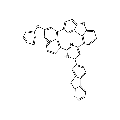 c1ccc(C2=NC(c3cccc4oc5ccc(-c6ccc7c(c6)oc6ccccc67)cc5c34)=NC(c3ccc4c(c3)oc3ccccc34)N2)cc1